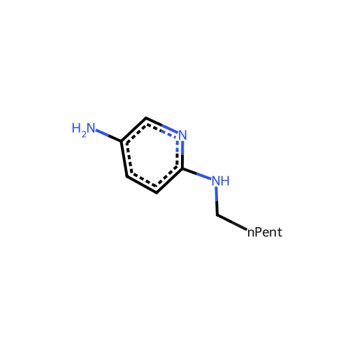 CCCCCCNc1ccc(N)cn1